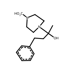 CC(O)(CCc1ccccc1)N1CCN(C(=O)O)CC1